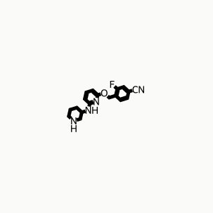 N#Cc1ccc(COc2cccc(NC3CCCNC3)n2)c(F)c1